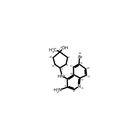 CC1(O)CCC(Nc2c(N)cnc3ccc(Br)cc23)CC1